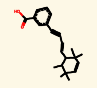 CC1C(C=CC#Cc2cccc(C(=O)O)c2)C(C)(C)C=CC1(C)C